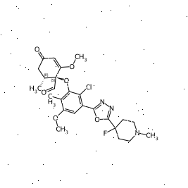 COC1=CC(=O)C[C@@H](C)[C@]1(C=O)Oc1c(C)c(OC)cc(-c2nnc(C3(F)CCN(C)CC3)o2)c1Cl